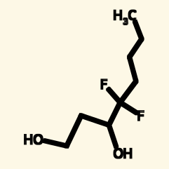 CCCCC(F)(F)C(O)CCO